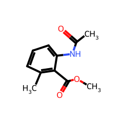 COC(=O)c1c(C)cccc1NC(C)=O